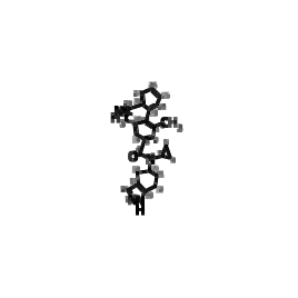 Cc1cc(C(=O)N(C2CC2)C2CCc3[nH]ncc3C2)cc(C)c1-c1ccccc1C#N